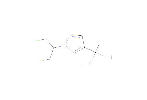 CC(C)(C)c1cnn(C(CF)CF)c1